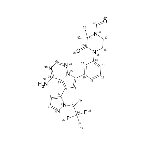 CC(n1nccc1-c1cc(-c2cccc(N3CCN(C=O)C(C)(C)C3=O)c2)n2ncnc(N)c12)C(F)(F)F